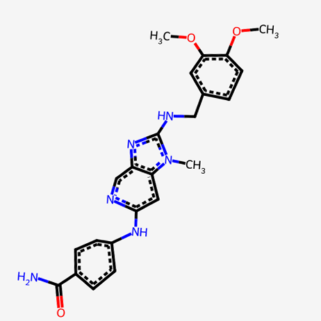 COc1ccc(CNc2nc3cnc(Nc4ccc(C(N)=O)cc4)cc3n2C)cc1OC